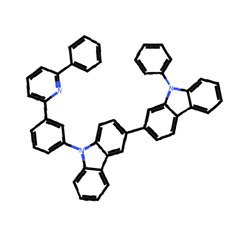 c1ccc(-c2cccc(-c3cccc(-n4c5ccccc5c5cc(-c6ccc7c8ccccc8n(-c8ccccc8)c7c6)ccc54)c3)n2)cc1